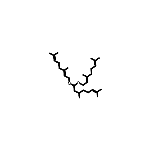 CC(C)=CCC/C(C)=C/COC(CC(C)CCC=C(C)C)OC/C=C(\C)CCC=C(C)C